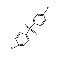 O=S(=O)(c1ccc(F)cc1)c1ccc(Br)cc1